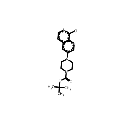 CC(C)(C)OC(=O)N1CCN(c2cnc3c(Cl)nccc3c2)CC1